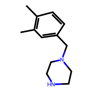 Cc1ccc(CN2CCNCC2)cc1C